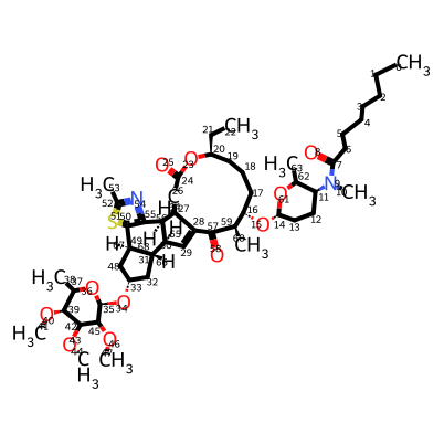 CCCCCCCC(=O)N(C)[C@H]1CC[C@H](O[C@H]2CCC[C@H](CC)OC(=O)C[C@@H]3C(=C[C@H]4[C@@H]5C[C@H](O[C@@H]6OC(C)[C@H](OC)C(OC)C6OC)C[C@H]5c5sc(C)nc5[C@H]43)C(=O)[C@@H]2C)OC1C